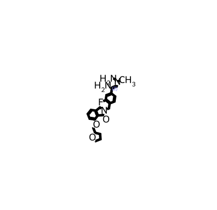 CN(N)/C=C(\N)c1ccc(CN2Cc3cccc(OCC4CCCO4)c3C2=O)c(F)c1